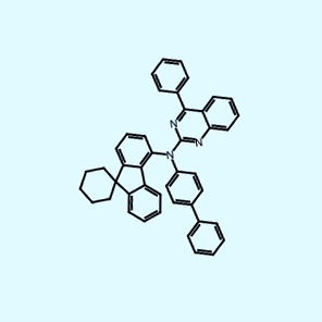 c1ccc(-c2ccc(N(c3nc(-c4ccccc4)c4ccccc4n3)c3cccc4c3-c3ccccc3C43CCCCC3)cc2)cc1